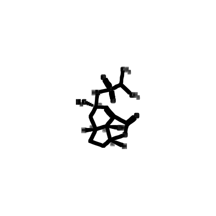 CC(C)S(=O)(=O)N[C@@]1(C)C=C2C(=O)O[C@@H]3CC[C@H](C1)[C@]23O